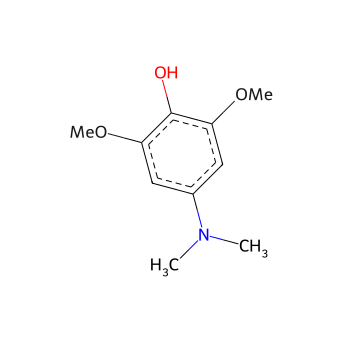 COc1cc(N(C)C)cc(OC)c1O